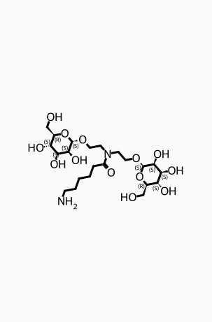 NCCCCCC(=O)N(CCO[C@H]1O[C@H](CO)[C@@H](O)[C@H](O)[C@@H]1O)CCO[C@H]1O[C@H](CO)[C@@H](O)[C@H](O)[C@@H]1O